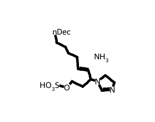 CCCCCCCCCCCCCCC=CC(CCOS(=O)(=O)O)N1C=NCC1.N